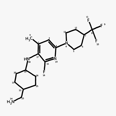 Cc1cc(N2CCC(C(F)(F)F)CC2)nc(F)c1NC1CCC(CN)CC1